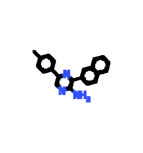 Cc1ccc(-c2cnc(N)c(-c3ccc4ccccc4c3)n2)cc1